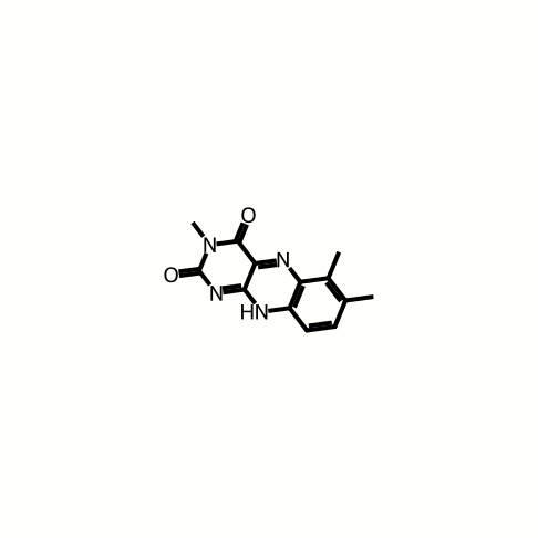 Cc1ccc2[nH]c3nc(=O)n(C)c(=O)c-3nc2c1C